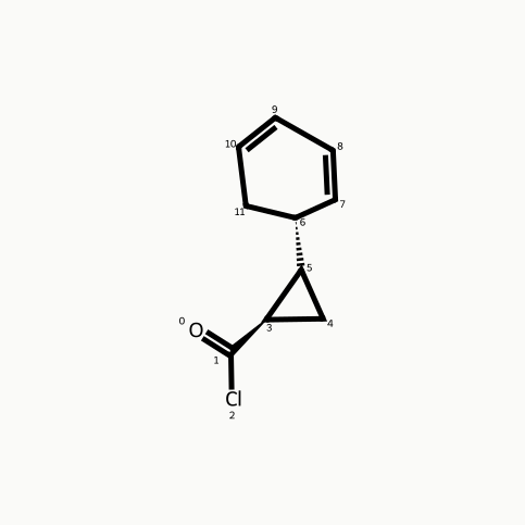 O=C(Cl)[C@@H]1CC1[C@H]1C=CC=CC1